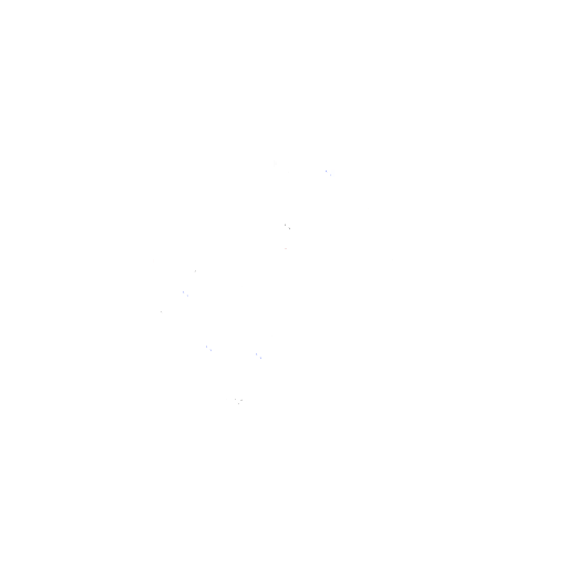 CSc1nc(N2C3COCC2C3)c2cc(Br)c(-c3ccc(F)c4sc(NC(=O)O)c(C#N)c34)c(F)c2n1